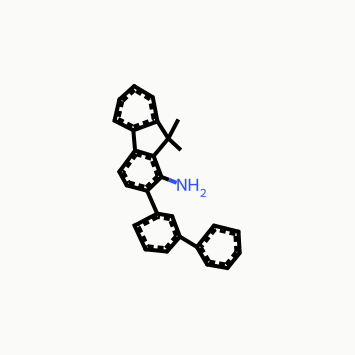 CC1(C)c2ccccc2-c2ccc(-c3cccc(-c4ccccc4)c3)c(N)c21